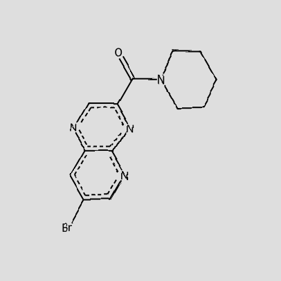 O=C(c1cnc2cc(Br)cnc2n1)N1CCCCC1